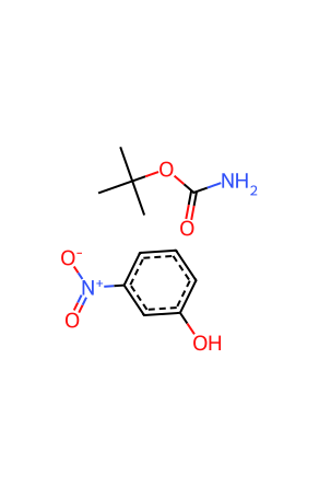 CC(C)(C)OC(N)=O.O=[N+]([O-])c1cccc(O)c1